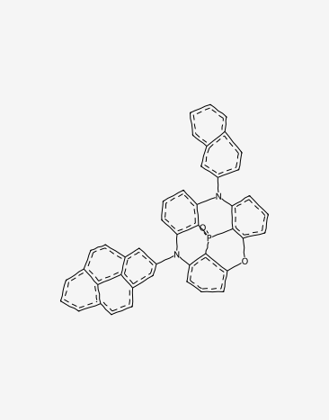 O=P12c3c4cccc3N(c3ccc5ccccc5c3)c3cccc(c31)N(c1cc3ccc5cccc6ccc(c1)c3c56)c1cccc(c12)O4